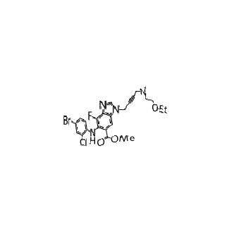 CCOCCN(C)CC#CCn1cnc2c(F)c(Nc3ccc(Br)cc3Cl)c(C(=O)OC)cc21